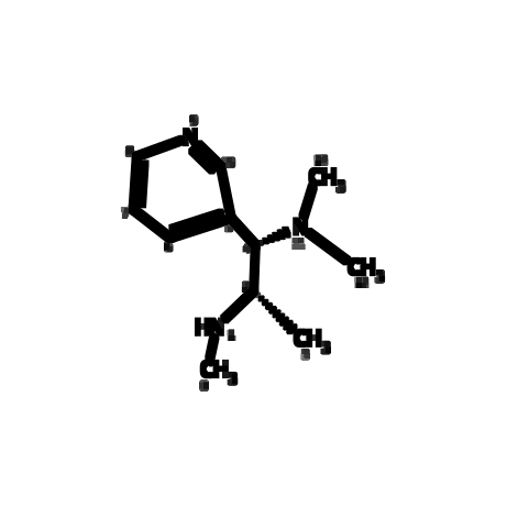 CN[C@@H](C)[C@H](c1cccnc1)N(C)C